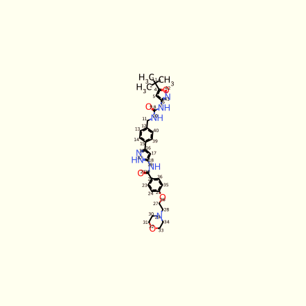 CC(C)(C)c1cc(NC(=O)NCc2ccc(-c3cc(NC(=O)c4ccc(OCCN5CCOCC5)cc4)[nH]n3)cc2)no1